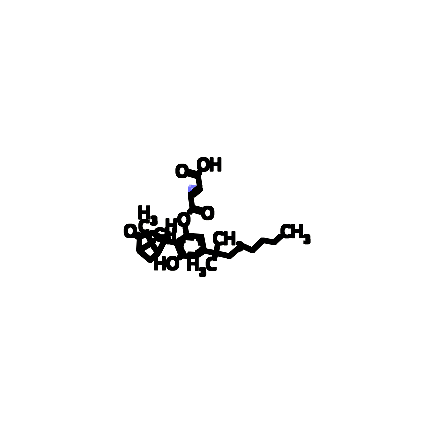 CCCCCCC(C)(C)c1cc(O)c([C@H]2CC(=O)C3CC2C3(C)C)c(OC(=O)/C=C/C(=O)O)c1